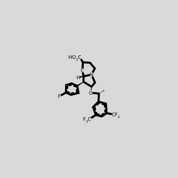 C[C@@H](O[C@H]1CN2CCC(C(=O)O)C[C@H]2[C@@H]1c1ccc(F)cc1)c1cc(C(F)(F)F)cc(C(F)(F)F)c1